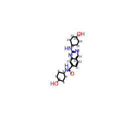 O=C(NC1CCC(O)CC1)c1ccc2cnc(NC3CCC(O)CC3)nc2c1